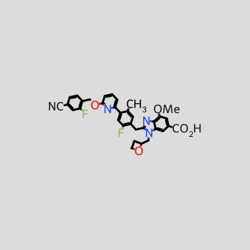 COc1cc(C(=O)O)cc2c1nc(Cc1cc(C)c(-c3cccc(OCc4ccc(C#N)cc4F)n3)cc1F)n2CC1CCO1